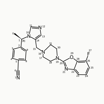 C[C@H](c1ccc(C#N)cc1)n1cncc1CN1CCN(c2nc3cccc(F)c3o2)CC1